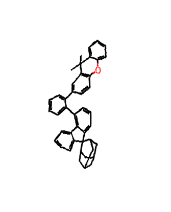 CC1(C)c2ccccc2Oc2ccc(-c3ccccc3-c3cccc4c3-c3ccccc3C43C4CC5CC(C4)CC3C5)cc21